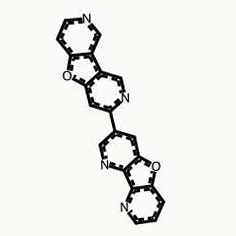 c1cnc2c(c1)oc1cc(-c3cc4oc5ccncc5c4cn3)cnc12